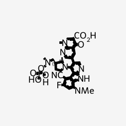 CNc1cc(F)c(C#N)c2c1[nH]c1ncc(-c3cnc4c(c3)c(=O)c(C(=O)O)cn4C)c(N3CC[C@@H](CN(C)COP(=O)(O)O)[C@H]3C)c12